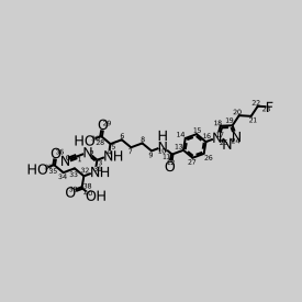 N#CN=C(NC(CCCCNC(=O)c1ccc(-n2cc(CCCF)nn2)cc1)C(=O)O)NC(CCC(=O)O)C(=O)O